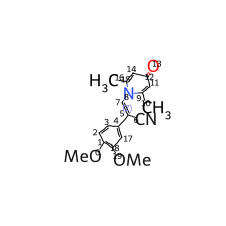 COc1ccc(/C(C#N)=C/n2c(C)cc(=O)cc2C)cc1OC